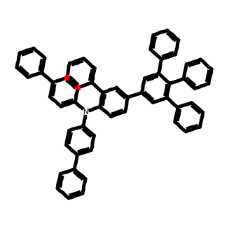 c1ccc(-c2ccc(N(c3ccc(-c4ccccc4)cc3)c3ccc(-c4cc(-c5ccccc5)c(-c5ccccc5)c(-c5ccccc5)c4)cc3-c3ccccc3)cc2)cc1